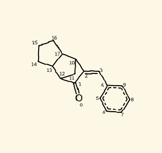 O=C1C(=Cc2ccccc2)C2CC1C1CCCC21